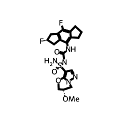 CO[C@@H]1COc2c([S@](N)(=O)=NC(=O)Nc3c4c(c(F)c5c3C[C@H](F)C5)CCC4)cnn2C1